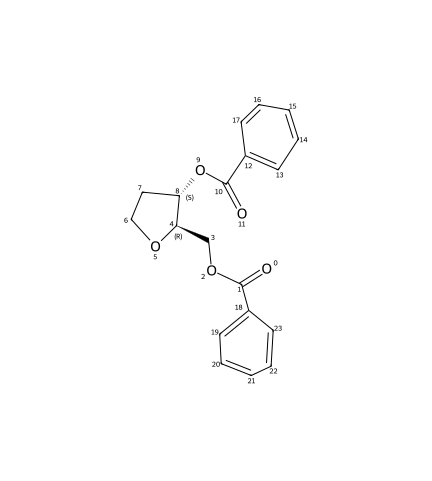 O=C(OC[C@H]1OCC[C@@H]1OC(=O)c1ccccc1)c1ccccc1